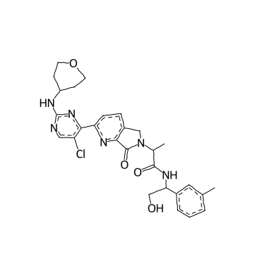 Cc1cccc(C(CO)NC(=O)C(C)N2Cc3ccc(-c4nc(NC5CCOCC5)ncc4Cl)nc3C2=O)c1